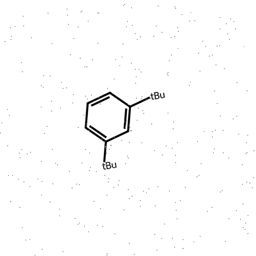 CC(C)(C)c1[c]c(C(C)(C)C)ccc1